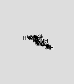 CN[C@H]1C[C@H](N(C)c2nc3nnc(-c4ccc(-c5cn[nH]c5)cc4O)cc3s2)C1.Cl.Cl